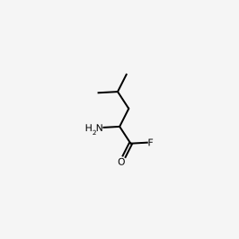 CC(C)CC(N)C(=O)F